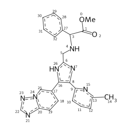 COC(=O)C(NCc1nc(-c2cccc(C)n2)c(-c2ccc3ncnn3c2)[nH]1)c1ccccc1